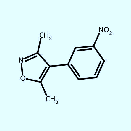 Cc1noc(C)c1-c1cc[c]c([N+](=O)[O-])c1